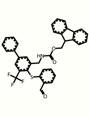 O=Cc1ccccc1Sc1c(CNC(=O)OCC2c3ccccc3-c3ccccc32)cc(-c2ccccc2)cc1C(F)(F)F